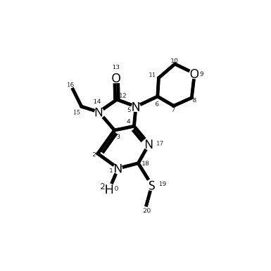 [2H]N1C=c2c(n(C3CCOCC3)c(=O)n2CC)=NC1SC